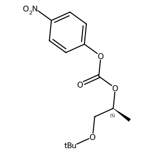 C[C@@H](COC(C)(C)C)OC(=O)Oc1ccc([N+](=O)[O-])cc1